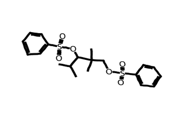 CC(C)C(OS(=O)(=O)c1ccccc1)C(C)(C)COS(=O)(=O)c1ccccc1